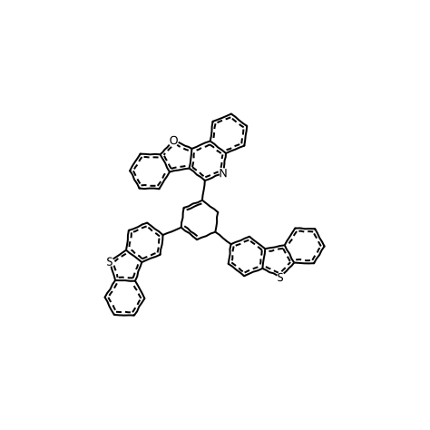 C1=C(c2ccc3sc4ccccc4c3c2)C=C(c2nc3ccccc3c3oc4ccccc4c23)CC1c1ccc2sc3ccccc3c2c1